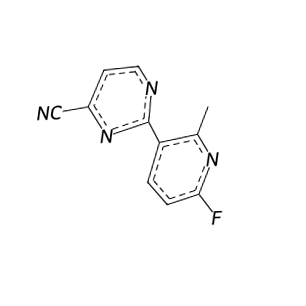 Cc1nc(F)ccc1-c1nccc(C#N)n1